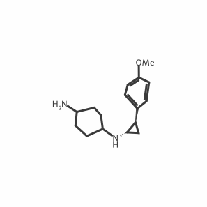 COc1ccc([C@H]2C[C@@H]2NC2CCC(N)CC2)cc1